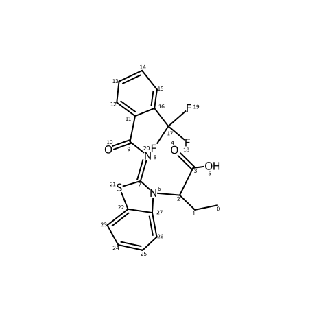 CCC(C(=O)O)n1c(=NC(=O)c2ccccc2C(F)(F)F)sc2ccccc21